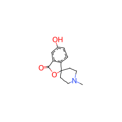 CN1CCC2(CC1)OC(=O)c1cc(O)ccc12